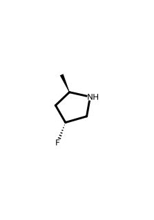 C[C@@H]1C[C@@H](F)CN1